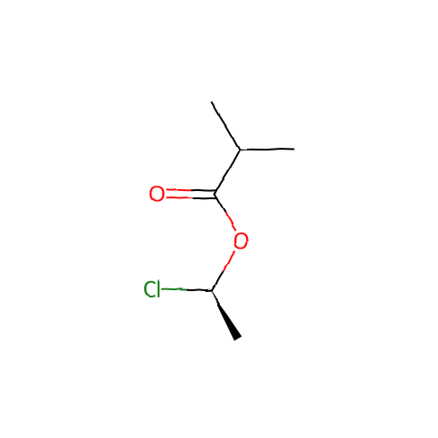 CC(C)C(=O)O[C@@H](C)Cl